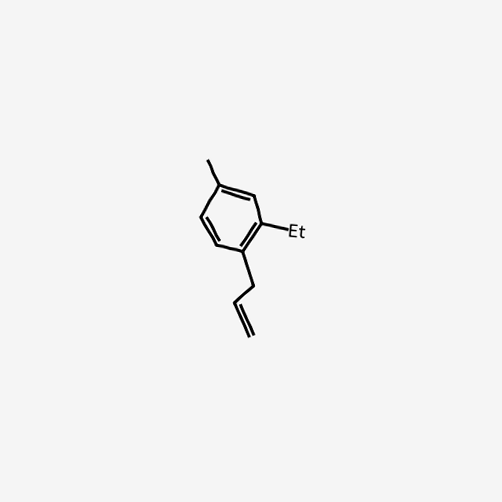 C=CCc1ccc(C)cc1CC